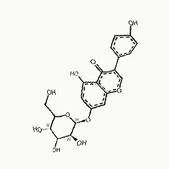 O=c1c(-c2ccc(O)cc2)coc2cc(O[C@@H]3OC(CO)[C@@H](O)C(O)[C@@H]3O)cc(O)c12